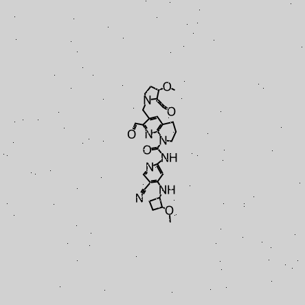 CO[C@H]1CC[C@H]1Nc1cc(NC(=O)N2CCCc3cc(CN4CC[C@@H](OC)C4=C=O)c(C=O)nc32)ncc1C#N